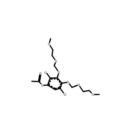 COCCOCOc1c(Cl)cc(OC(C)=O)c(Cl)c1OCOCCOC